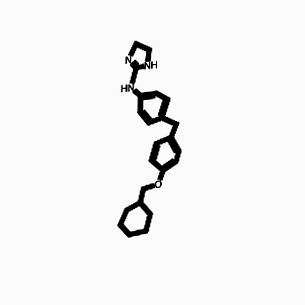 c1cc(NC2=NCCN2)ccc1Cc1ccc(OCC2CCCCC2)cc1